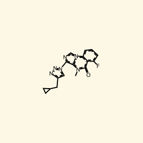 Cn1c(=O)c2c(F)cccc2n2cnc(-n3cc(CC4CC4)nn3)c12